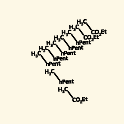 CCCCCC.CCCCCC.CCCCCC.CCCCCC.CCCCCC.CCCCCC.CCOC(C)=O.CCOC(C)=O.CCOC(C)=O